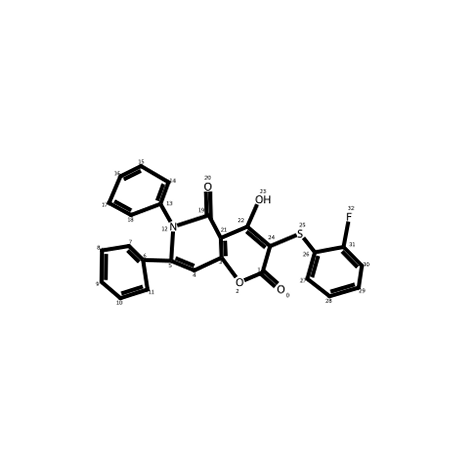 O=c1oc2cc(-c3ccccc3)n(-c3ccccc3)c(=O)c2c(O)c1Sc1ccccc1F